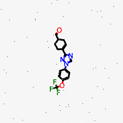 O=CC1CC=C(c2ncn(-c3ccc(OC(F)(F)F)cc3)n2)CC1